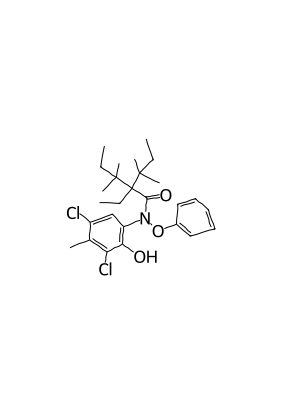 CCC(C)(C)C(CC)(C(=O)N(Oc1ccccc1)c1cc(Cl)c(C)c(Cl)c1O)C(C)(C)CC